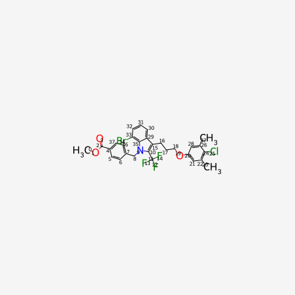 COC(=O)c1ccc(Cn2c(C(F)(F)F)c(CCCOc3cc(C)c(Cl)c(C)c3)c3cccc(Br)c32)cc1